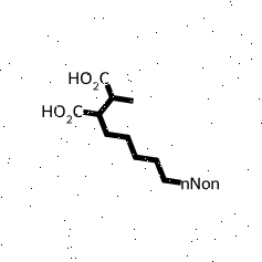 CCCCCCCCCCCCCCC(C(=O)O)C(C)C(=O)O